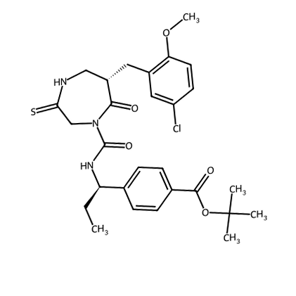 CC[C@@H](NC(=O)N1CC(=S)NC[C@H](Cc2cc(Cl)ccc2OC)C1=O)c1ccc(C(=O)OC(C)(C)C)cc1